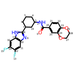 O=C(NC1CCCC(c2nc3cc(F)c(F)cc3[nH]2)C1)c1ccc2c(c1)OCCO2